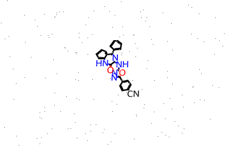 N#Cc1ccc(-c2nnc(NC3N=C(c4ccccc4)c4ccccc4NC3=O)o2)cc1